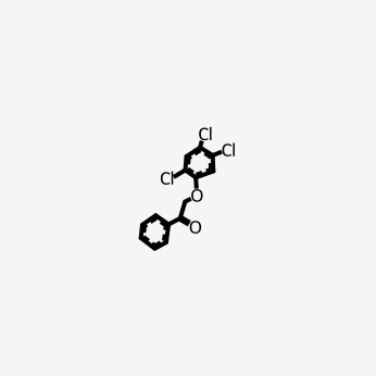 O=C(COc1cc(Cl)c(Cl)cc1Cl)c1ccccc1